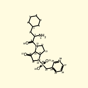 NC(CC1CCCCC1)C(=O)N1CCC2C1C(=O)CN2S(=O)(=O)Cc1cccnc1